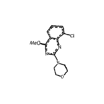 COc1nc(N2CCOCC2)nc2c(Cl)cccc12